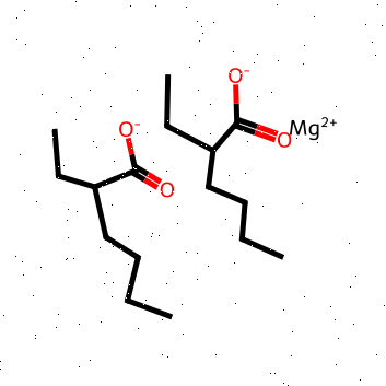 CCCCC(CC)C(=O)[O-].CCCCC(CC)C(=O)[O-].[Mg+2]